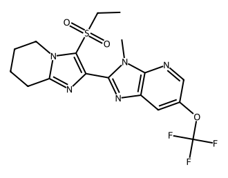 CCS(=O)(=O)c1c(-c2nc3cc(OC(F)(F)F)cnc3n2C)nc2n1CCCC2